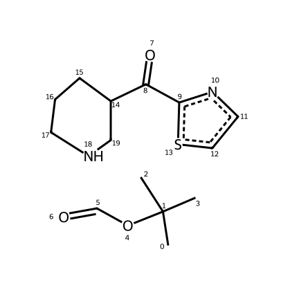 CC(C)(C)OC=O.O=C(c1nccs1)C1CCCNC1